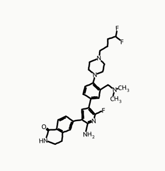 CN(C)Cc1cc(-c2cc(-c3ccc4c(c3)CCNC4=O)c(N)nc2F)ccc1N1CCN(CCCC(F)F)CC1